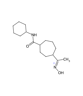 C/C(=N\O)C1CCCC(C(=O)NC2CCCCC2)CC1